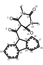 CN1C(=O)C(C(=O)C2c3ccccc3-c3ccccc32)C(=O)N(C)C1=O